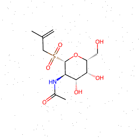 C=C(C)CS(=O)(=O)[C@@H]1O[C@H](CO)[C@H](O)[C@H](O)[C@H]1NC(C)=O